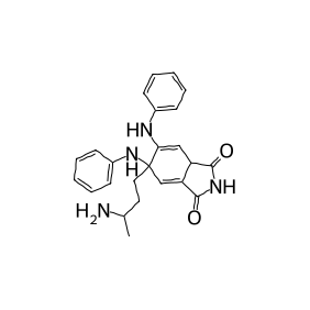 CC(N)CCC1(Nc2ccccc2)C=C2C(=O)NC(=O)C2C=C1Nc1ccccc1